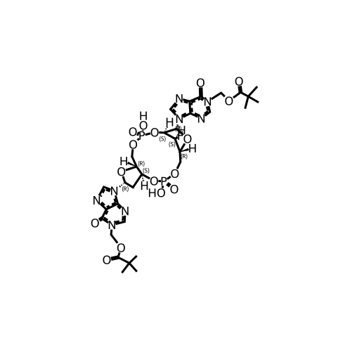 CC(C)(C)C(=O)OCn1cnc2c(ncn2[C@@H]2O[C@@H]3COP(=O)(O)O[C@H]4C[C@H](n5cnc6c(=O)n(COC(=O)C(C)(C)C)cnc65)O[C@@H]4COP(=O)(O)O[C@@H]2[C@H]3F)c1=O